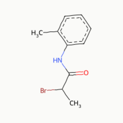 Cc1ccccc1NC(=O)C(C)Br